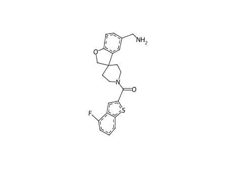 NCc1ccc2c(c1)C1(CCN(C(=O)c3cc4c(F)cccc4s3)CC1)CO2